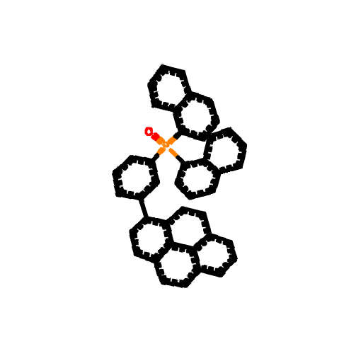 O=P(c1cccc(-c2ccc3ccc4cccc5ccc2c3c45)c1)(c1cccc2ccccc12)c1cccc2ccccc12